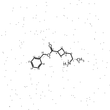 C[C@H](N)CN1CC(C(=O)OCc2ccccc2)C1